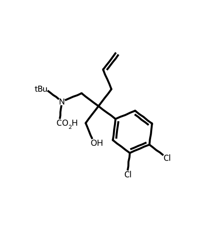 C=CCC(CO)(CN(C(=O)O)C(C)(C)C)c1ccc(Cl)c(Cl)c1